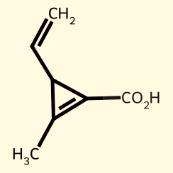 C=CC1C(C)=C1C(=O)O